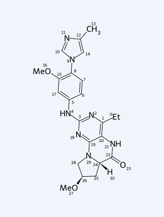 CCc1nc(Nc2ccc(-n3cnc(C)c3)c(OC)c2)nc2c1NC(=O)[C@@H]1C[C@@H](OC)CN21